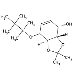 CC1(C)O[C@H]2[C@@H](O)C=CC(O[Si](C)(C)C(C)(C)C)[C@@H]2O1